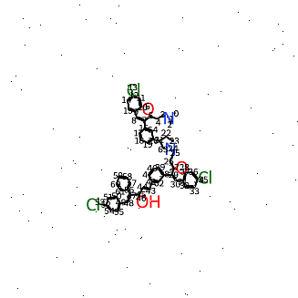 CN(C)CCC(=O)/C(=C\c1ccc(Cl)cc1)c1cccc(C2CCN(CCC(=O)/C(=C\c3ccc(Cl)cc3)c3cccc(/C=C/C(O)/C(=C/c4ccc(Cl)cc4)c4ccccc4)c3)C2)c1